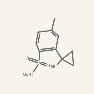 COS(=O)(=O)c1ccc(C)cc1C1(C#N)CC1